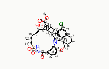 C=C(C(=O)OC)[C@]1(O)/C=C/C[C@H](C)[C@@H](C)S(=O)(=O)NC(=O)c2ccc3c(c2)N(C[C@@H]2CC[C@H]21)C[C@@]1(CCCc2cc(Cl)ccc21)CO3